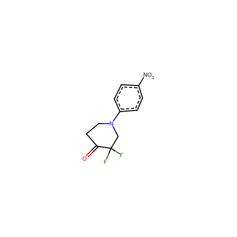 O=C1CCN(c2ccc([N+](=O)[O-])cc2)CC1(F)F